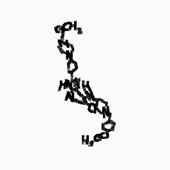 COCCN1CCN(c2ccc(-c3nc4c(NC5CCN(Cc6ccc(OC)cc6)CC5)c(Cl)cnc4[nH]3)cc2)CC1